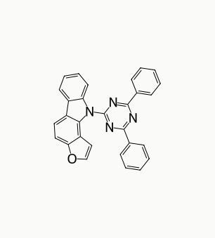 c1ccc(-c2nc(-c3ccccc3)nc(-n3c4ccccc4c4ccc5occc5c43)n2)cc1